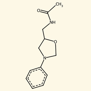 CC(=O)NCC1CN(c2ccccc2)CO1